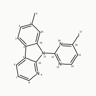 Cc1ccc2c3cccnc3n(-c3nccc(I)n3)c2c1